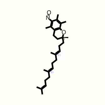 CC(C)=CCC/C(C)=C/CC/C(C)=C/CC[C@]1(C)CCc2c(C)c(N=O)c(C)c(C)c2O1